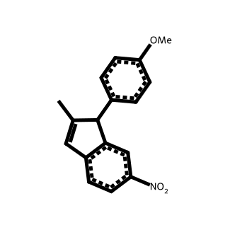 COc1ccc(C2C(C)=Cc3ccc([N+](=O)[O-])cc32)cc1